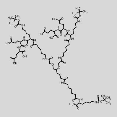 CC(C)(C)OC(=O)NCCCCC(NC(=O)CCCCCNC(=O)COCC(COCC(=O)NCCCCCC(=O)NC(CCCCNC(=O)OC(C)(C)C)C(=O)NC(CCC(=O)O)C(=O)NC(CCC(=O)O)C(=O)O)OCC(=O)NCCCCCC(=O)NC(CCCCNC(=O)OC(C)(C)C)C(=O)NC(CCC(=O)O)C(=O)NC(CCC(=O)O)C(=O)O)C(N)=O